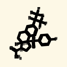 NC(=O)[C@@H]1CC[C@@]2(S(=O)(=O)c3ccc(F)cc3)c3ccc(C(F)(C(F)(F)F)C(F)(F)F)cc3CC[C@@H]12